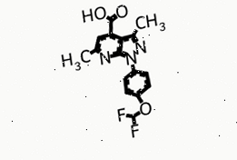 Cc1cc(C(=O)O)c2c(C)nn(-c3ccc(OC(F)F)cc3)c2n1